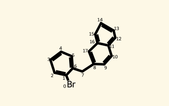 Brc1ccccc1Cc1ccc2ccccc2c1